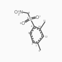 Cc1ccc(S(=O)(=O)C[N+](=O)[O-])c(C)c1